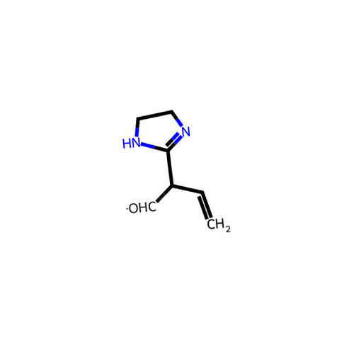 C=CC([C]=O)C1=NCCN1